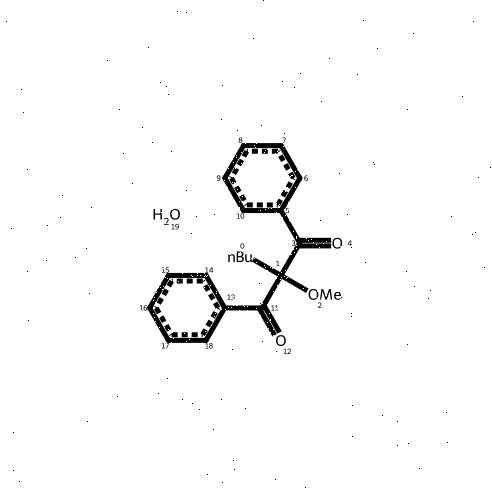 CCCCC(OC)(C(=O)c1ccccc1)C(=O)c1ccccc1.O